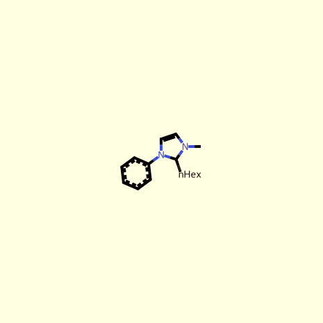 CCCCCCC1N(C)C=CN1c1ccccc1